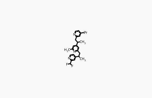 Cc1cc(C(C)Cc2cc(C(C)C)ccn2)cc(CC(C)c2ccnc(C(F)F)c2)n1